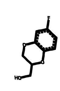 OCC1COc2cc(F)ccc2O1